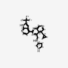 FC(F)(F)c1cc2c(-c3nc(CN[C@@H]4CCNC4)c4c(C5CC5)cncc4n3)ccnc2[nH]1